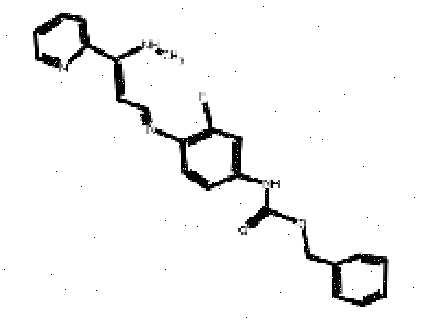 CN/C(=C\C=N\c1ccc(NC(=O)OCc2ccccc2)cc1F)c1ccccn1